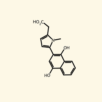 Cn1c(CC(=O)O)ccc1-c1cc(O)c2ccccc2c1O